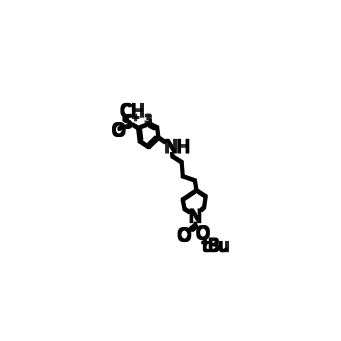 C[S+]([O-])c1ccc(NCCCCC2CCN(C(=O)OC(C)(C)C)CC2)cc1